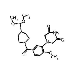 COc1ccc(C(=O)N2CCC(C(OC)OC)CC2)cc1N1CC(=O)NC(=O)C1